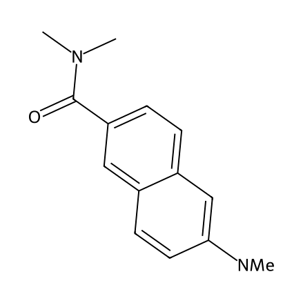 CNc1ccc2cc(C(=O)N(C)C)ccc2c1